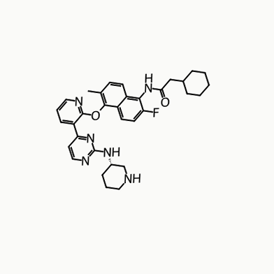 Cc1ccc2c(NC(=O)CC3CCCCC3)c(F)ccc2c1Oc1ncccc1-c1ccnc(N[C@H]2CCCNC2)n1